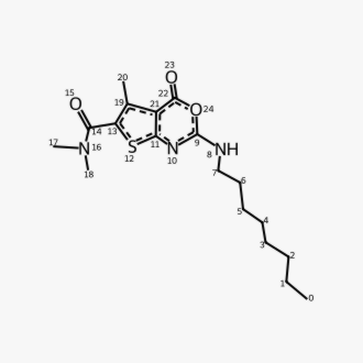 CCCCCCCCNc1nc2sc(C(=O)N(C)C)c(C)c2c(=O)o1